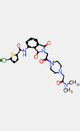 CN(C)C(=O)CN1CCN(C(=O)CN2C(=O)c3cccc(NC(=O)c4ccc(Cl)s4)c3C2=O)CC1